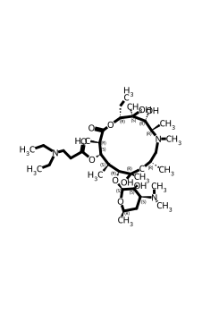 CC[C@H]1OC(=O)[C@H](C)[C@@H](OC(=O)CCN(CC)CC)[C@H](C)[C@@H](O[C@@H]2O[C@H](C)C[C@H](N(C)C)[C@@H]2O)[C@](C)(O)C[C@@H](C)CN(C)[C@H](C)[C@@H](O)[C@]1(C)O